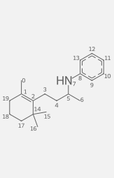 CC1=C(CCC(C)Nc2ccccc2)C(C)(C)CCC1